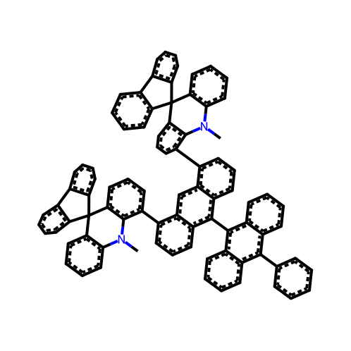 CN1c2ccccc2C2(c3ccccc3-c3ccccc32)c2cccc(-c3cccc4c(-c5c6ccccc6c(-c6ccccc6)c6ccccc56)c5cccc(-c6cccc7c6N(C)c6ccccc6C76c7ccccc7-c7ccccc76)c5cc34)c21